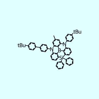 Cc1cc2c3c(c1)N(c1ccc(C(C)(C)C)cc1)c1cccc4c1B3c1c(cccc1[Si]4(c1ccccc1)c1ccccc1)N2c1ccc(-c2ccc(C(C)(C)C)cc2)cc1